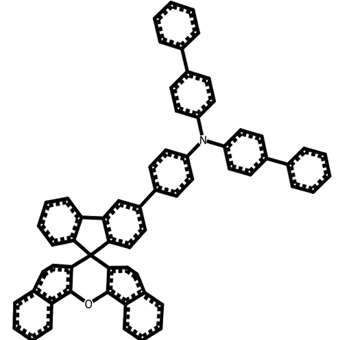 c1ccc(-c2ccc(N(c3ccc(-c4ccccc4)cc3)c3ccc(-c4ccc5c(c4)-c4ccccc4C54c5ccc6ccccc6c5Oc5c4ccc4ccccc54)cc3)cc2)cc1